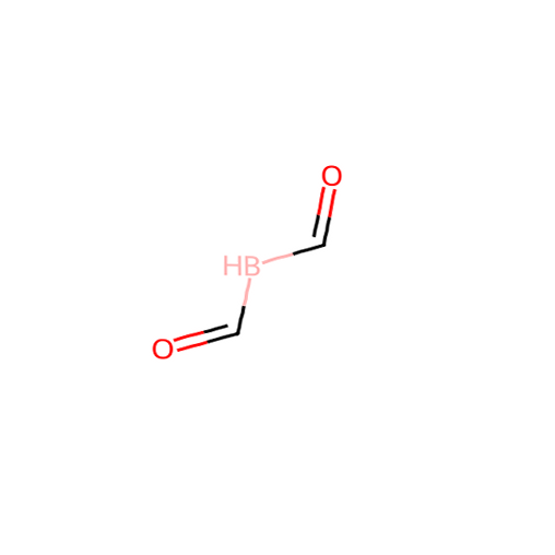 O=CBC=O